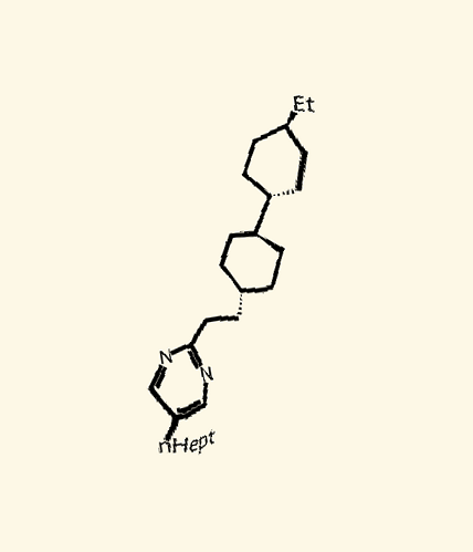 CCCCCCCc1cnc(CC[C@H]2CC[C@H]([C@H]3CC[C@H](CC)CC3)CC2)nc1